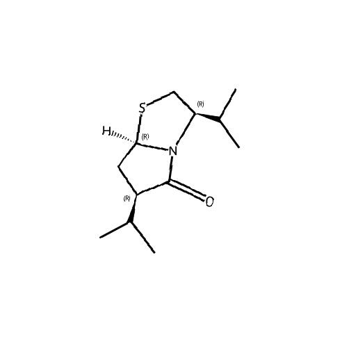 CC(C)[C@H]1C[C@H]2SC[C@@H](C(C)C)N2C1=O